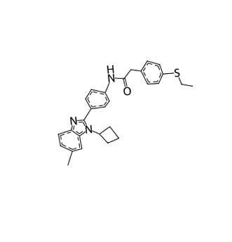 CCSc1ccc(CC(=O)Nc2ccc(-c3nc4ccc(C)cc4n3C3CCC3)cc2)cc1